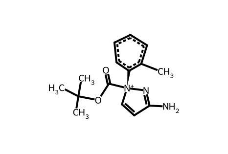 Cc1ccccc1[N@+]1(C(=O)OC(C)(C)C)C=CC(N)=N1